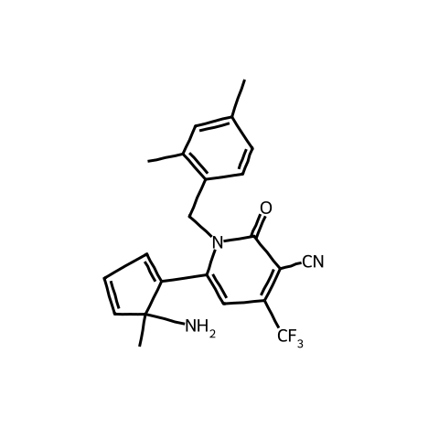 Cc1ccc(Cn2c(C3=CC=CC3(C)N)cc(C(F)(F)F)c(C#N)c2=O)c(C)c1